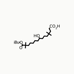 CCC(C)OC(=O)C(C)(C)CCCCCC(O)CCCC(C)(C)CCC(=O)O